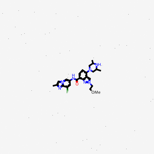 COCCn1cc2c(N3CC(C)NC(C)C3)ccc(C(=O)Nc3cc(F)c4nc(C)cn4c3)c2n1